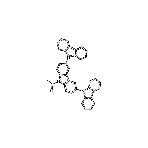 CC(=O)n1c2ccc(-n3c4ccccc4c4ccccc43)cc2c2cc(-n3c4ccccc4c4ccccc43)ccc21